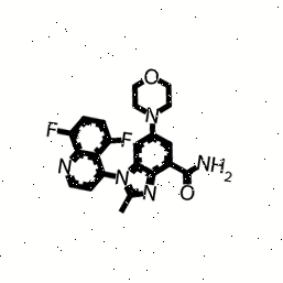 Cc1nc2c(C(N)=O)cc(N3CCOCC3)cc2n1-c1ccnc2c(F)ccc(F)c12